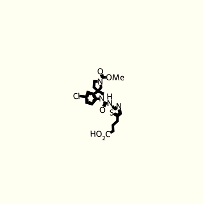 COC(=O)N1CCC2(C1)CN(C(=O)Nc1ncc(CCCC(=O)O)s1)c1ccc(Cl)cc12